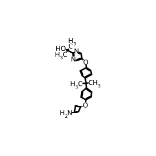 CC(C)(O)c1ncc(Oc2ccc(C(C)(C)c3ccc(O[C@H]4C[C@H](N)C4)cc3)cc2)cn1